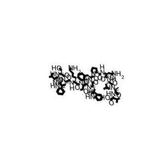 CC(C)C[C@H](NC(=O)[C@H](CC(N)=O)NC(=O)[C@@H]1CCCN1C(=O)[C@H](Cc1ccccc1)NC(=O)[C@H](Cc1c[nH]c2ccccc12)NC(=O)[C@@H](NC(=O)[C@H](CCCCN)NC(=O)[C@H](Cc1c[nH]c2ccccc12)NC(=O)[C@H](CO)NC(=O)[C@@H](N)C(C)C)C(C)O)C(=O)N[C@@H](C)C(=O)N[C@H](C(=O)O)C(C)C